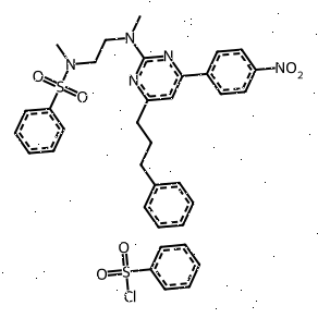 CN(CCN(C)S(=O)(=O)c1ccccc1)c1nc(CCCc2ccccc2)cc(-c2ccc([N+](=O)[O-])cc2)n1.O=S(=O)(Cl)c1ccccc1